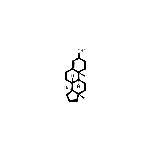 C[C@@]12C=CC[C@H]1[C@@H]1CCC3=CC(C=O)CC[C@]3(C)[C@H]1CC2